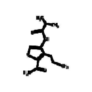 CCCc1c(NC(=O)C(C)C)csc1C(N)=O